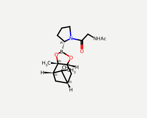 CC(=O)NCC(=O)N1CCC[C@H]1B1O[C@@H]2C[C@@H]3C[C@@H](C3(C)C)[C@]2(C)O1